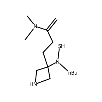 C=C(CCC1(N(S)CCCC)CNC1)N(C)C